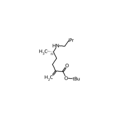 C=C(CC[C@H](C)NCC(C)C)C(=O)OC(C)(C)C